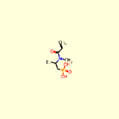 C=CC(=O)N(C)C(CC)CP(=O)(O)O